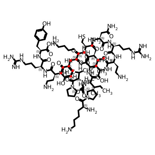 CC[C@H](C)[C@H](NC(=O)[C@@H](NC(=O)[C@@H]1CCCN1C(=O)[C@@H](NC(=O)[C@@H]1CCCN1C(=O)[C@@H](N)CCCCN)C(C)C)[C@@H](C)CC)C(=O)N[C@@H](Cc1ccc(O)cc1)C(=O)N[C@@H](CS)C(=O)N[C@@H](CC(N)=O)C(=O)N[C@@H](CCCNC(=N)N)C(=O)N[C@@H](CCN)C(=O)N[C@H](C(=O)N[C@H](CCN)C(=O)N[C@@H](CCCCN)C(=O)N[C@@H](CS)C(=O)N[C@@H](CCN)C(=O)N[C@@H](CCCNC(=N)N)C(=O)N[C@@H](Cc1ccc(O)cc1)C(=O)O)[C@@H](C)O